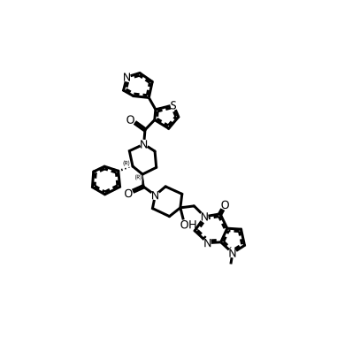 Cn1ccc2c(=O)n(CC3(O)CCN(C(=O)[C@@H]4CCN(C(=O)c5ccsc5-c5ccncc5)C[C@H]4c4ccccc4)CC3)cnc21